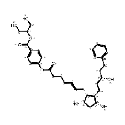 O=C(CCCC=CC[C@@H]1[C@@H](CC[C@@H](O)CCc2ccccc2)[C@H](O)C[C@@H]1O)Oc1ccc(C(=O)OC(CO)CO)cc1